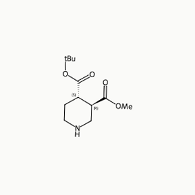 COC(=O)[C@H]1CNCC[C@@H]1C(=O)OC(C)(C)C